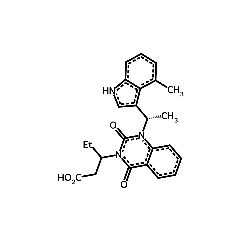 CCC(CC(=O)O)n1c(=O)c2ccccc2n([C@@H](C)c2c[nH]c3cccc(C)c23)c1=O